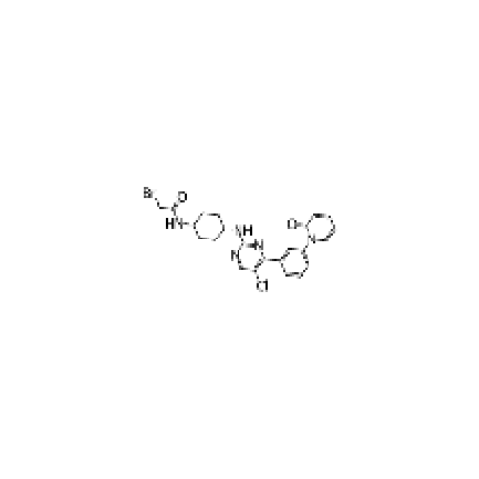 O=C(CBr)N[C@H]1CC[C@H](Nc2ncc(Cl)c(-c3cccc(-n4ccccc4=O)c3)n2)CC1